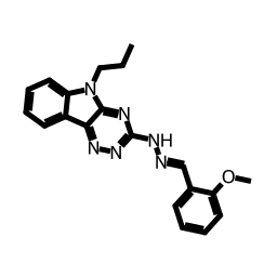 CCCn1c2ccccc2c2nnc(NN=Cc3ccccc3OC)nc21